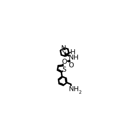 NCc1cccc(-c2ccc(OC(=O)N[C@H]3CN4CCC3CC4)s2)c1